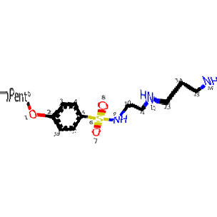 CCCCCOc1ccc(S(=O)(=O)NCCNCCCN)cc1